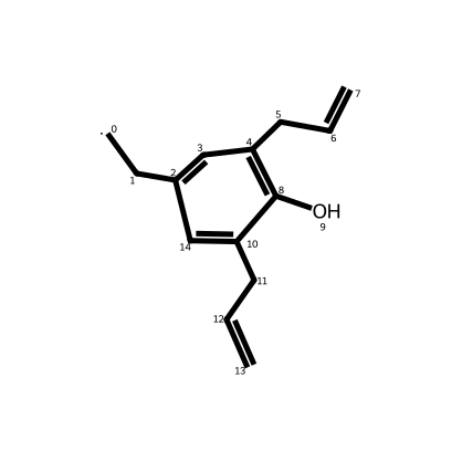 [CH2]Cc1cc(CC=C)c(O)c(CC=C)c1